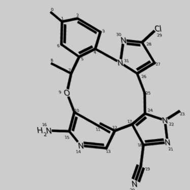 Cc1ccc2c(c1)C(C)Oc1cc(cnc1N)-c1c(C#N)nn(C)c1Cc1cc(Cl)nn1-2